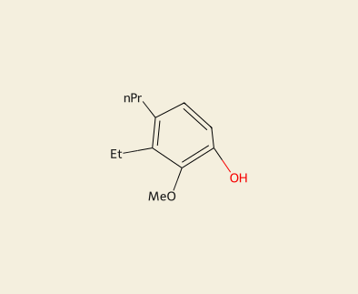 CCCc1ccc(O)c(OC)c1CC